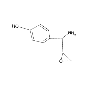 NC(c1ccc(O)cc1)C1CO1